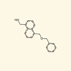 OCc1cccc2c(COCc3ccccc3)cccc12